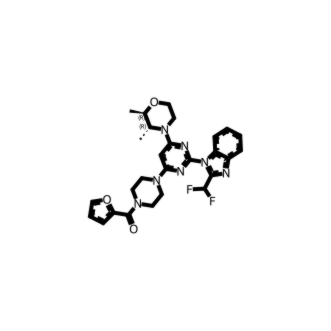 C[C@@H]1[C@@H](C)OCCN1c1cc(N2CCN(C(=O)c3ccco3)CC2)nc(-n2c(C(F)F)nc3ccccc32)n1